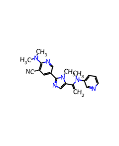 C=C(c1cnc(-c2cnc(N(C)C)c(C#N)c2)n1C)N(C)c1cccnc1